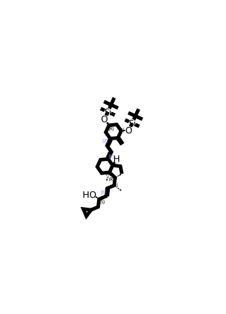 C=C1/C(=C\C=C2/CCC[C@]3(C)[C@@H]([C@H](C)/C=C/[C@@H](O)CC4CC4)CC[C@@H]23)C[C@@H](O[Si](C)(C)C(C)(C)C)C[C@@H]1O[Si](C)(C)C(C)(C)C